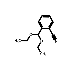 CCOC(OCC)c1ccccc1C#N